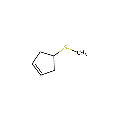 CSC1CC=CC1